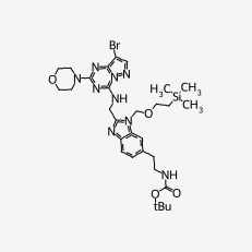 CC(C)(C)OC(=O)NCCc1ccc2nc(CNc3nc(N4CCOCC4)nc4c(Br)cnn34)n(COCC[Si](C)(C)C)c2c1